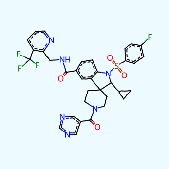 O=C(NCc1ncccc1C(F)(F)F)c1ccc2c(c1)C1(CCN(C(=O)c3cncnc3)CC1)C(C1CC1)N2S(=O)(=O)c1ccc(F)cc1